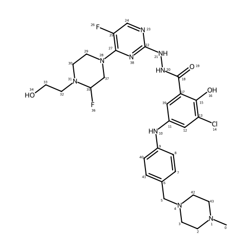 CN1CCN(Cc2ccc(Nc3cc(Cl)c(O)c(C(=O)NNc4ncc(F)c(N5CCN(CCO)C(F)C5)n4)c3)cc2)CC1